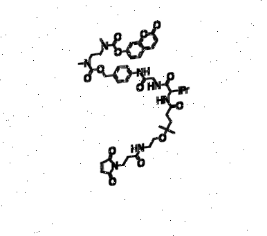 CC(C)C(NC(=O)CCC(C)(C)OCCNC(=O)CCN1C(=O)C=CC1=O)C(=O)NCC(=O)Nc1ccc(COC(=O)N(C)CCN(C)C(=O)Oc2ccc3ccc(=O)oc3c2)cc1